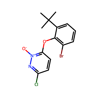 CC(C)(C)c1cccc(Br)c1Oc1ccc(Cl)n[n+]1[O-]